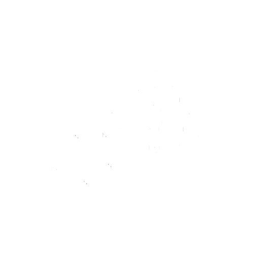 O=C(O)OP(=O)(O)OP(=O)(O)OP(=O)(O)OC1OC(O)(n2cnc3c(O)ncnc32)[C@H]1O